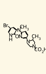 CC1CN(C(=O)O)CCN1c1ccc(N(C)c2cc(Br)c[nH]c2=O)nc1